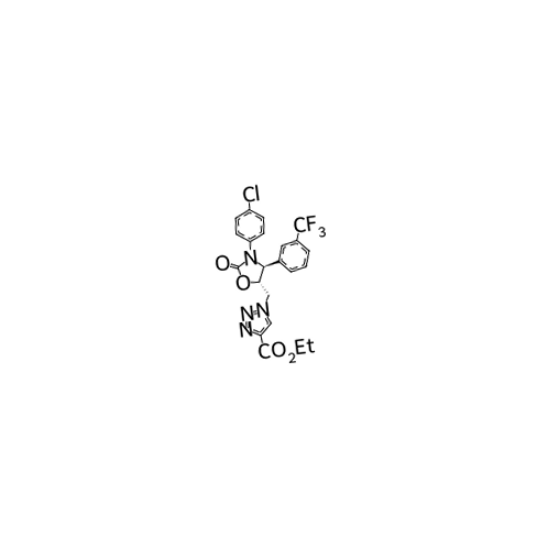 CCOC(=O)c1cn(C[C@@H]2OC(=O)N(c3ccc(Cl)cc3)[C@H]2c2cccc(C(F)(F)F)c2)nn1